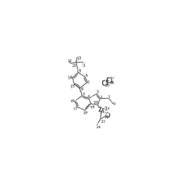 CCC1=Cc2c(-c3ccc(C(C)(C)C)cc3)cccc2[CH]1[Zr+2]1[O][CH]1C.[Cl-].[Cl-]